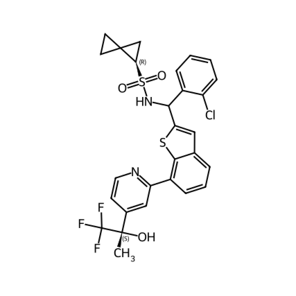 C[C@](O)(c1ccnc(-c2cccc3cc(C(NS(=O)(=O)[C@@H]4CC45CC5)c4ccccc4Cl)sc23)c1)C(F)(F)F